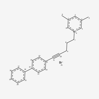 Cc1cc(C)c[n+](CCCC#Cc2ccc(-c3ccccc3)cc2)c1.[Br-]